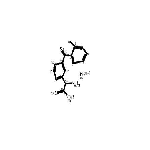 Cc1ccccc1C(=S)c1cccc(C(N)C(=O)O)c1.[NaH]